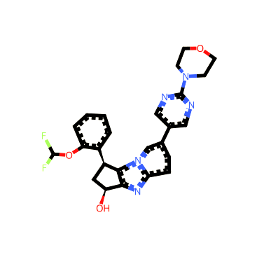 O[C@H]1C[C@@H](c2ccccc2OC(F)F)c2c1nc1ccc(-c3cnc(N4CCOCC4)nc3)cn21